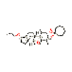 CCCO[C@H]1CC[C@H]2[C@@H]3CCC4=C(C)[C@@H](OC5(OC)CCCCCC5)CC(C)[C@]4(C=O)[C@H]3CC[C@]12C